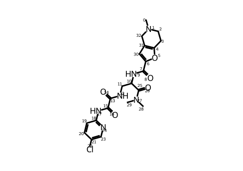 CN1CCc2oc(C(=O)NC(CNC(=O)C(=O)Nc3ccc(Cl)cn3)C(=O)N(C)C)cc2C1